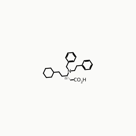 O=C(O)C[C@H](CCC1CCCCC1)N(CCc1ccccc1)Cc1ccccc1